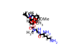 CO[C@]12CC[C@@]3(C[C@@H]1C(C)(C)O)[C@H]1Cc4ccc(OC(=O)N(C)CCNC(=O)[C@@H](N)CCCCN)c5c4[C@@]3(CC[N+]1(C)CC1CC1)[C@H]2O5